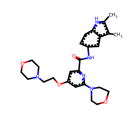 Cc1[nH]c2ccc(NC(=O)c3cc(OCCN4CCOCC4)cc(N4CCOCC4)n3)cc2c1C